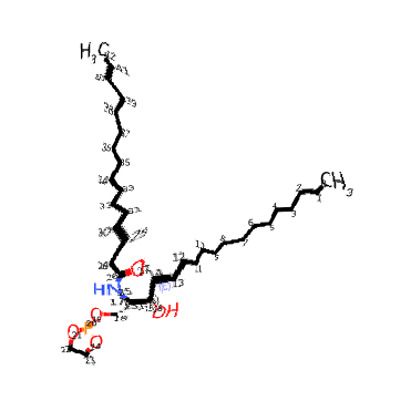 CCCCCCCCCCCCC/C=C/[C@H](O)[C@H](COP1OCCO1)NC(=O)CCCCCCCCCCCCCCC